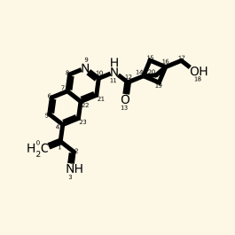 C=C(C=N)c1ccc2cnc(NC(=O)C34CC(CO)(C3)C4)cc2c1